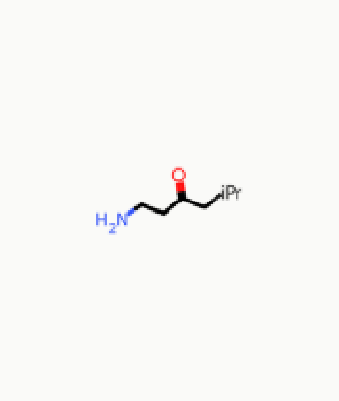 CC(C)CC(=O)CCN